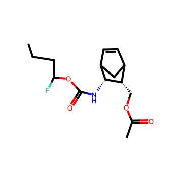 CCCC(F)OC(=O)N[C@@H]1C2C=CC(C2)[C@@H]1COC(C)=O